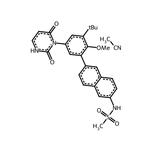 CC#N.COc1c(-c2ccc3cc(NS(C)(=O)=O)ccc3c2)cc(-n2c(=O)cc[nH]c2=O)cc1C(C)(C)C